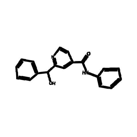 O=C(Nc1ccccc1)c1ccnc(C(O)c2ccccc2)c1